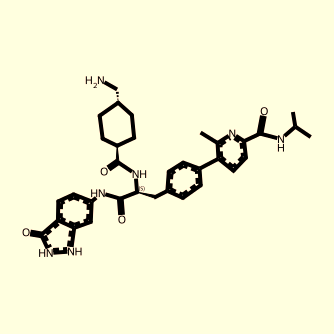 Cc1nc(C(=O)NC(C)C)ccc1-c1ccc(C[C@H](NC(=O)[C@H]2CC[C@H](CN)CC2)C(=O)Nc2ccc3c(=O)[nH][nH]c3c2)cc1